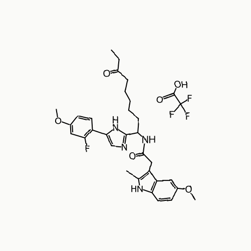 CCC(=O)CCCCCC(NC(=O)Cc1c(C)[nH]c2ccc(OC)cc12)c1ncc(-c2ccc(OC)cc2F)[nH]1.O=C(O)C(F)(F)F